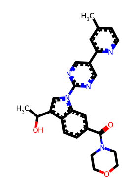 Cc1ccnc(-c2cnc(-n3cc(C(C)O)c4ccc(C(=O)N5CCOCC5)cc43)nc2)c1